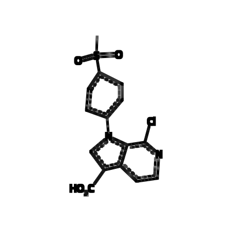 CS(=O)(=O)c1ccc(-n2cc(C(=O)O)c3ccnc(Cl)c32)cc1